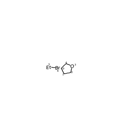 C1CCOC1.CCBr